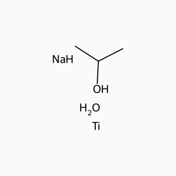 CC(C)O.O.[NaH].[Ti]